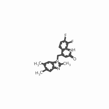 Cc1cc2nc(C)n(Cc3cc(=O)[nH]c4c(F)c(F)ccc34)c2cc1C